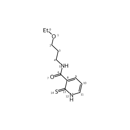 CCOCCCNC(=O)c1ccc[nH]c1=S